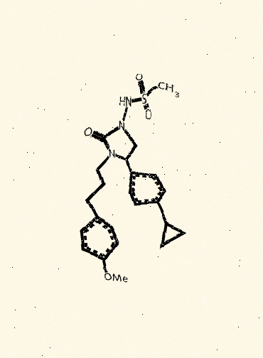 COc1ccc(CCCN2C(=O)N(NS(C)(=O)=O)CC2c2ccc(C3CC3)cc2)cc1